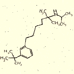 CC(C)NC(C)(C)CCCCCc1cccc(C(C)(C)C)c1